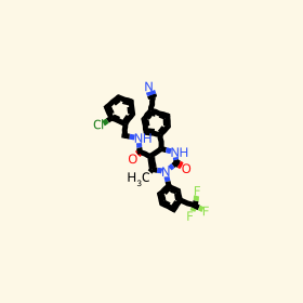 CC1=C(C(=O)NCc2ccccc2Cl)C(c2ccc(C#N)cc2)NC(=O)N1c1cccc(C(F)(F)F)c1